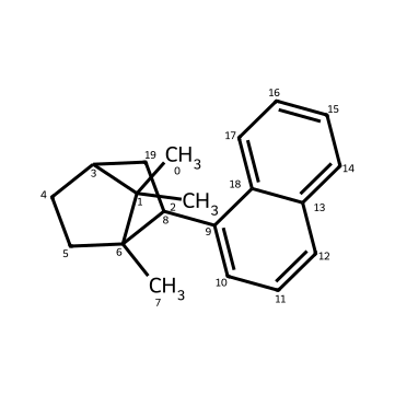 CC1(C)C2CCC1(C)C(c1cccc3ccccc13)C2